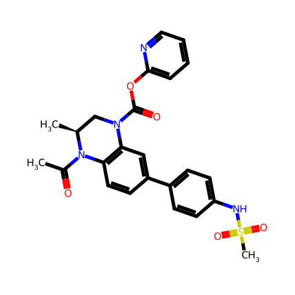 CC(=O)N1c2ccc(-c3ccc(NS(C)(=O)=O)cc3)cc2N(C(=O)Oc2ccccn2)C[C@@H]1C